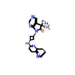 CC1(C)C(=O)N(C2CC(Nc3ccc4ncccc4n3)C2)c2ncncc21